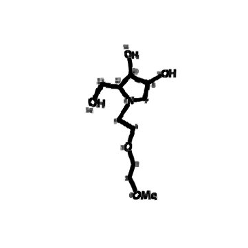 COCCOCCN1CC(O)C(O)C1CO